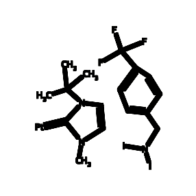 Cn1ccn(C(C)(C)C)[c]1=[Pt].FC(F)(F)c1ccc(CN(I)I)cc1